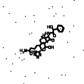 NC(=O)CCCC(Sc1nnn[nH]1)C1=C(C(=O)O)N2C(=O)C(NC(=O)C(O)c3ccccc3)[C@@H]2SC1